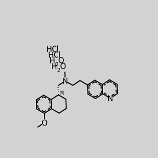 COc1cccc2c1CCC[C@H]2CN(C)CCc1ccc2ncccc2c1.Cl.Cl.O.O